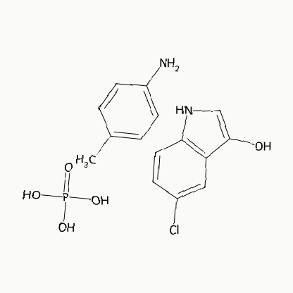 Cc1ccc(N)cc1.O=P(O)(O)O.Oc1c[nH]c2ccc(Cl)cc12